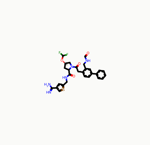 N=C(N)c1csc(CNC(=O)C2C[C@@H](OC(F)F)CN2C(=O)Cc2ccc(-c3ccccc3)cc2CNC=O)c1